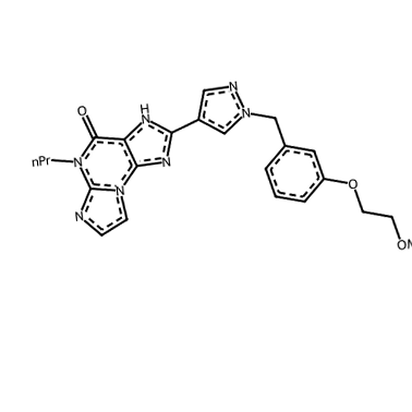 CCCn1c(=O)c2[nH]c(-c3cnn(Cc4cccc(OCCOC)c4)c3)nc2n2ccnc12